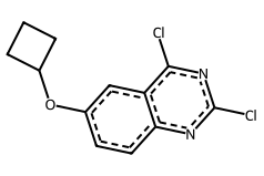 Clc1nc(Cl)c2cc(OC3CCC3)ccc2n1